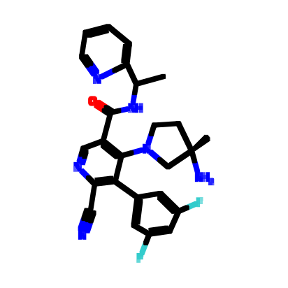 CC(NC(=O)c1cnc(C#N)c(-c2cc(F)cc(F)c2)c1N1CC[C@](C)(N)C1)c1ccccn1